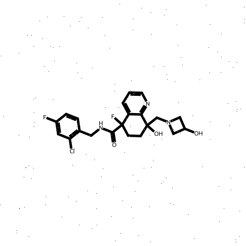 O=C(NCc1ccc(F)cc1Cl)C1(F)CCC(O)(CN2CC(O)C2)c2ncccc21